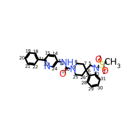 CS(=O)(=O)N1CC2(CCN(C(=O)Nc3ccc(-c4ccccc4)nc3)CC2)c2ccccc21